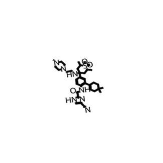 CC1CC(NCCN2CCN(C)CC2)(c2ccc(NC(=O)c3nc(C#N)c[nH]3)c(C3=CCC(C)(C)CC3)c2)CC(C)S1(=O)=O